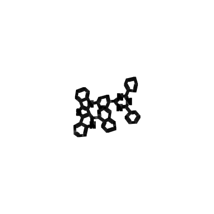 c1ccc(-c2nc(-c3ccccc3)nc(-c3ccc(-n4c5ccccc5c5sc6c7ccccc7nc(-c7cccc8ccccc78)c6c54)cc3)n2)cc1